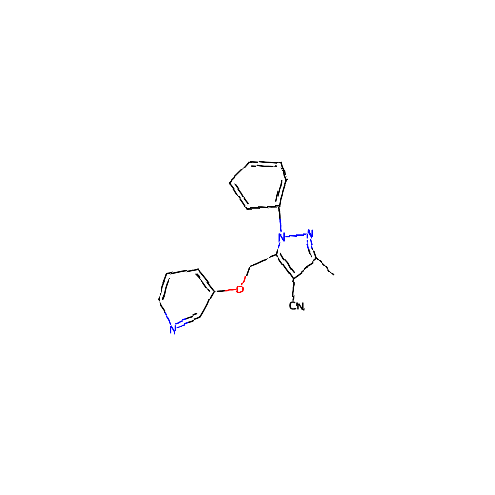 Cc1nn(-c2ccccc2)c(COc2cccnc2)c1C#N